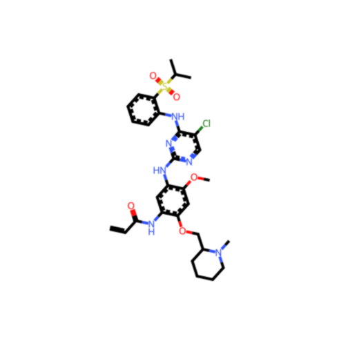 C=CC(=O)Nc1cc(Nc2ncc(Cl)c(Nc3ccccc3S(=O)(=O)C(C)C)n2)c(OC)cc1OCC1CCCCN1C